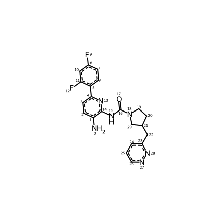 Nc1ccc(-c2ccc(F)cc2F)nc1NC(=O)N1CCC(Cc2cccnn2)C1